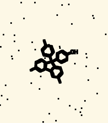 Cc1ccc(C2(c3ccc(O)cc3)c3ccc(C)cc3-c3cc(C)ccc32)cc1